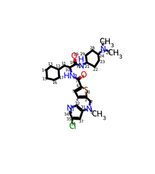 CN(Cc1ccc(C(=O)NC(CC2CCCCC2)C(=O)NC2CCC(N(C)C)CC2)s1)c1cncc(Cl)c1